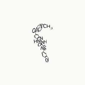 CCN1CCN(C(=O)c2ccc3[nH]c(NC(=O)c4csc(-c5ccc6c(c5)CCO6)n4)nc3c2)CC1